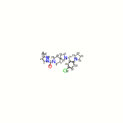 CC(=O)c1ccn(C(=O)N2CCC3(CCN(Cc4cc(Cl)ccc4N4CCCC4)C3)CC2)n1